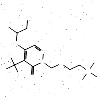 CC(CO)Nc1cnn(COCC[Si](C)(C)C)c(=O)c1C(F)(F)F